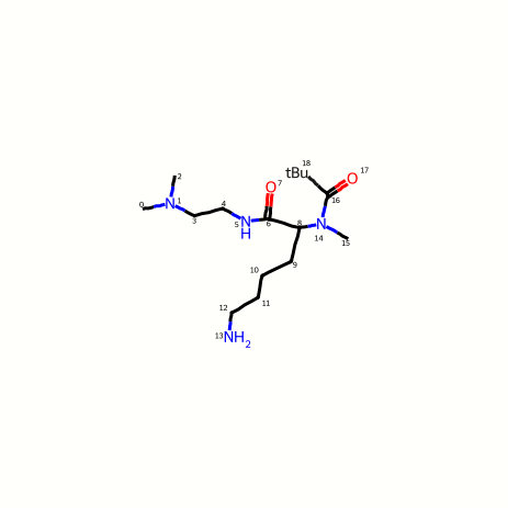 CN(C)CCNC(=O)C(CCCCN)N(C)C(=O)C(C)(C)C